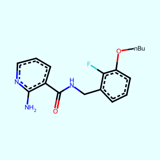 CCCCOc1cccc(CNC(=O)c2cccnc2N)c1F